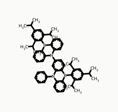 CC(C)c1cc(C(C)C)c(B2c3ccccc3N(c3ccc4c(c3)N(c3ccccc3)c3ccccc3B4c3c(C(C)C)cc(C(C)C)cc3C(C)C)c3ccccc32)c(C(C)C)c1